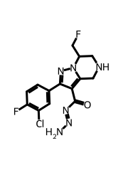 NN=NC(=O)c1c(-c2ccc(F)c(Cl)c2)nn2c1CNCC2CF